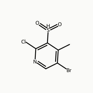 Cc1c(Br)cnc(Cl)c1[SH](=O)=O